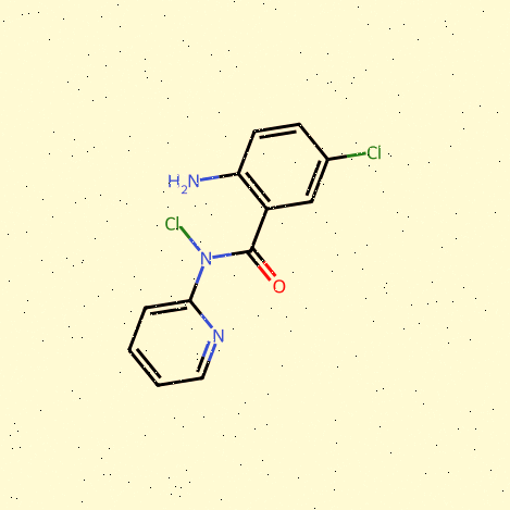 Nc1ccc(Cl)cc1C(=O)N(Cl)c1ccccn1